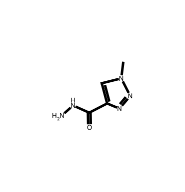 Cn1cc(C(=O)NN)nn1